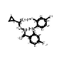 O=C(NOC(O)C1CC1)c1ccc(F)cc1Nc1ccc(I)cc1F